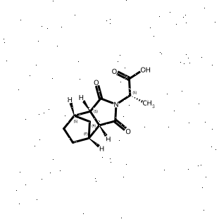 C[C@@H](C(=O)O)N1C(=O)[C@@H]2[C@@H]3CC[C@@H](C3)[C@@H]2C1=O